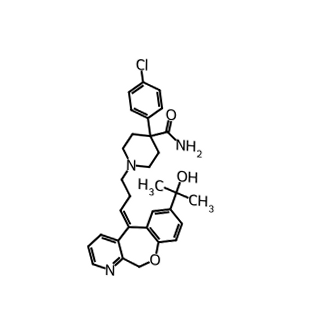 CC(C)(O)c1ccc2c(c1)/C(=C\CCN1CCC(C(N)=O)(c3ccc(Cl)cc3)CC1)c1cccnc1CO2